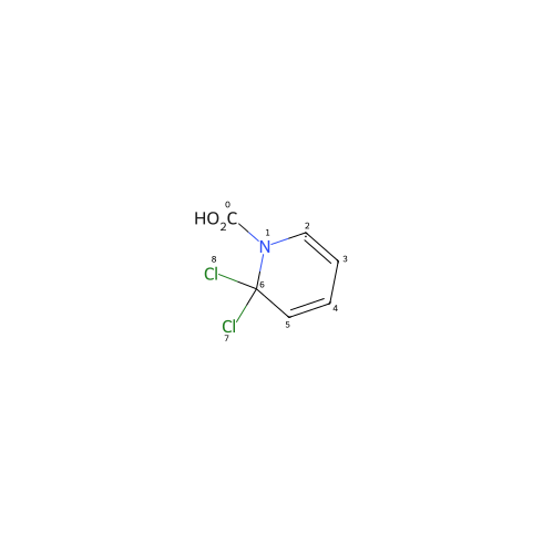 O=C(O)N1[C]=CC=CC1(Cl)Cl